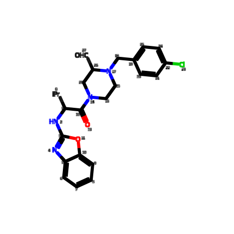 CC(C)C(Nc1nc2ccccc2o1)C(=O)N1CCN(Cc2ccc(Cl)cc2)C(C=O)C1